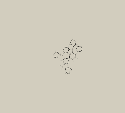 CC1(C)c2ccccc2-c2ccc(N(c3ccccc3)c3ccc4c(c3)C3(c5ccccc5-c5ccccc53)c3ccccc3-4)cc21